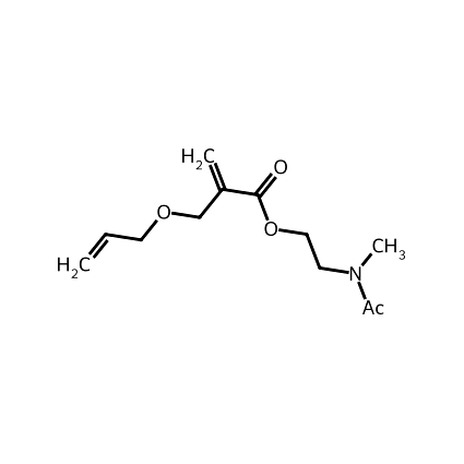 C=CCOCC(=C)C(=O)OCCN(C)C(C)=O